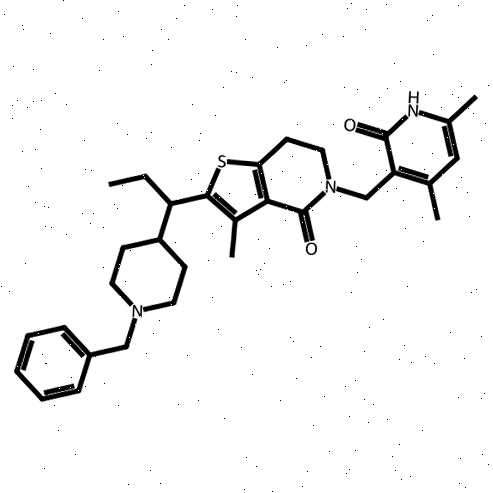 CCC(c1sc2c(c1C)C(=O)N(Cc1c(C)cc(C)[nH]c1=O)CC2)C1CCN(Cc2ccccc2)CC1